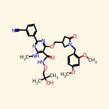 CNc1nc(-c2cccc(C#N)c2)nc(OCC2CC(=O)N(Cc3ccc(OC)cc3OC)C2)c1C(=O)NOCC(C)(C)O